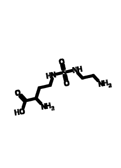 NCCNS(=O)(=O)NCCC(N)C(=O)O